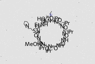 C/C=C/C[C@@H](C)[C@@H](O)[C@H]1C(=O)N[C@@H](CC)C(=O)N(C)[C@H](CSCCCN2CCCCC2)C(=O)N(C)[C@@H](CC(C)(C)OC)C(=O)N[C@@H](C(C)C)C(=O)N(C)[C@@H](CC(C)C)C(=O)N[C@@H](C)C(=O)N[C@H](C)C(=O)N(C)[C@@H](CC(C)C)C(=O)N(C)[C@@H](CC(C)C)C(=O)N(C)[C@@H](C(C)C)C(=O)N1C